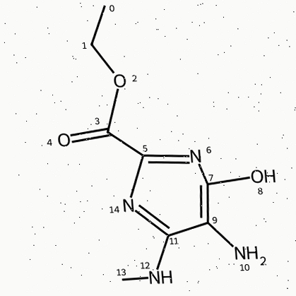 CCOC(=O)c1nc(O)c(N)c(NC)n1